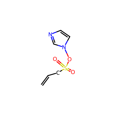 C=CCS(=O)(=O)On1ccnc1